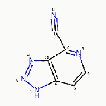 N#Cc1nccc2[nH]nnc12